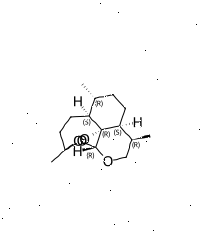 C[C@@H]1CC[C@H]2[C@@H](C)CO[C@@H]3OC4(C)CC[C@@H]1[C@]32OO4